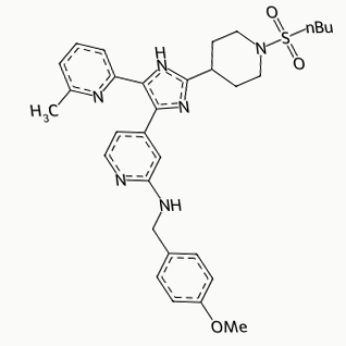 CCCCS(=O)(=O)N1CCC(c2nc(-c3ccnc(NCc4ccc(OC)cc4)c3)c(-c3cccc(C)n3)[nH]2)CC1